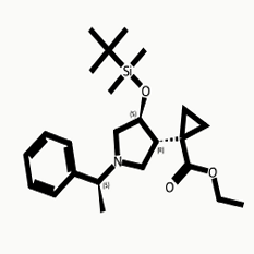 CCOC(=O)C1([C@@H]2CN([C@@H](C)c3ccccc3)C[C@H]2O[Si](C)(C)C(C)(C)C)CC1